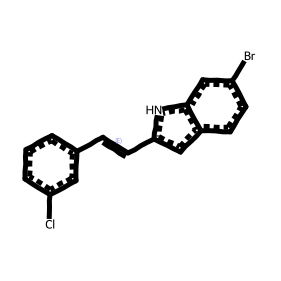 Clc1cccc(/C=C/c2cc3ccc(Br)cc3[nH]2)c1